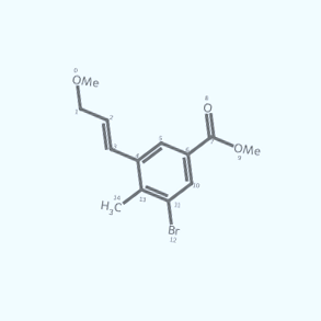 COCC=Cc1cc(C(=O)OC)cc(Br)c1C